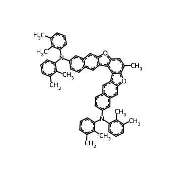 Cc1cccc(N(c2ccc3cc4c(cc3c2)oc2cc(C)c3oc5cc6cc(N(c7cccc(C)c7C)c7cccc(C)c7C)ccc6cc5c3c24)c2cccc(C)c2C)c1C